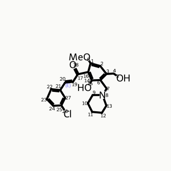 COc1cc(CO)c(CN2CCCCC2)c(O)c1C(=O)/C=C/c1cccc(Cl)c1